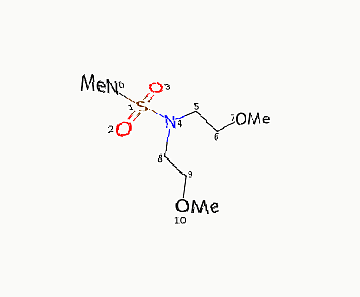 CNS(=O)(=O)N(CCOC)CCOC